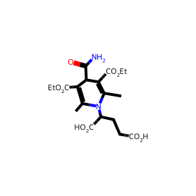 CCOC(=O)C1=C(C)N(C(CCC(=O)O)C(=O)O)C(C)=C(C(=O)OCC)C1C(N)=O